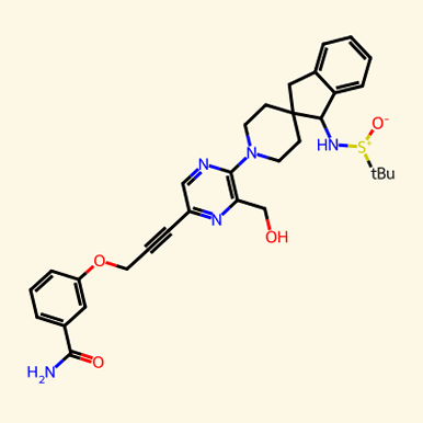 CC(C)(C)[S+]([O-])NC1c2ccccc2CC12CCN(c1ncc(C#CCOc3cccc(C(N)=O)c3)nc1CO)CC2